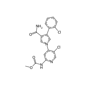 COC(=O)Nc1cc(-n2cc(C(N)=O)c(-c3ccccc3Cl)c2)c(Cl)cn1